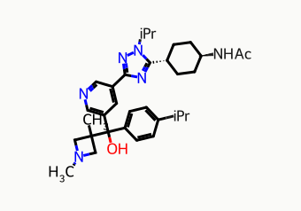 CC(=O)N[C@H]1CC[C@H](c2nc(-c3cncc(C(O)(c4ccc(C(C)C)cc4)C4(C)CN(C)C4)c3)nn2C(C)C)CC1